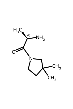 C[C@@H](N)C(=O)N1CCC(C)(C)C1